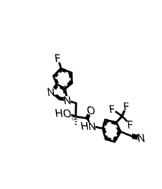 C[C@](O)(Cn1cnc2cc(F)ccc21)C(=O)Nc1ccc(C#N)c(C(F)(F)F)c1